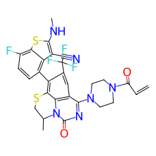 C=CC(=O)N1CCN(c2nc(=O)n3c4c(c(-c5ccc(F)c6sc(NC)c(C#N)c56)c(C(F)(F)F)cc24)SCC3C)CC1